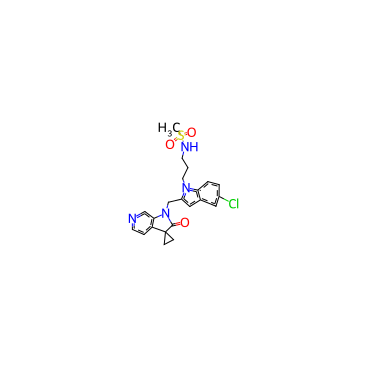 CS(=O)(=O)NCCCn1c(CN2C(=O)C3(CC3)c3ccncc32)cc2cc(Cl)ccc21